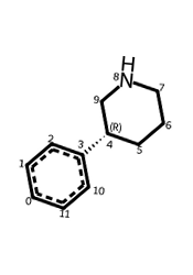 c1ccc([C@H]2CCCNC2)cc1